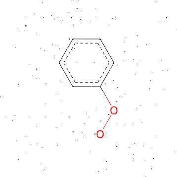 [O]Oc1cc[c]cc1